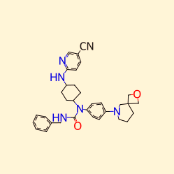 N#Cc1ccc(NC2CCC(N(C(=O)NCc3ccccc3)c3ccc(N4CCCC5(COC5)C4)cc3)CC2)nc1